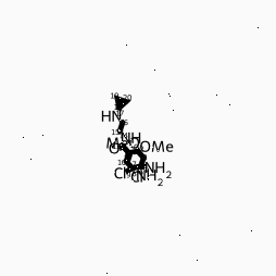 COC1(OC)CC(N)(N)C(Cl)(Cl)C=C1C(=O)NCCNC1CC1